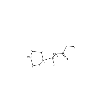 C[CH]C(=O)NC(C)N1CCOCC1